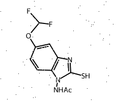 CC(=O)Nn1c(S)nc2cc(OC(F)F)ccc21